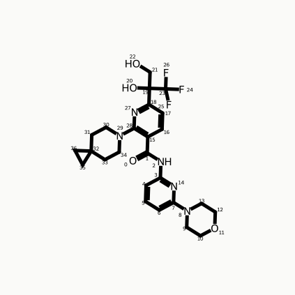 O=C(Nc1cccc(N2CCOCC2)n1)c1ccc(C(O)(CO)C(F)(F)F)nc1N1CCC2(CC1)CC2